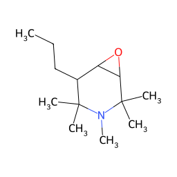 CCCC1C2OC2C(C)(C)N(C)C1(C)C